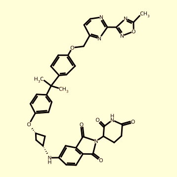 Cc1nc(-c2nccc(COc3ccc(C(C)(C)c4ccc(O[C@H]5C[C@@H](Nc6ccc7c(c6)C(=O)N(C6CCC(=O)NC6=O)C7=O)C5)cc4)cc3)n2)no1